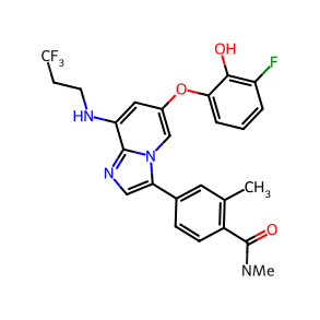 CNC(=O)c1ccc(-c2cnc3c(NCCC(F)(F)F)cc(Oc4cccc(F)c4O)cn23)cc1C